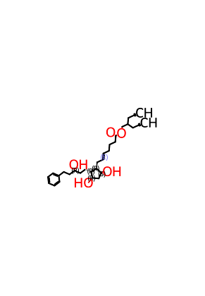 C#CCC(CC#C)COC(=O)CCC/C=C/C[C@@H]1[C@@H](CC[C@@H](O)CCc2ccccc2)[C@H](O)C[C@@H]1O